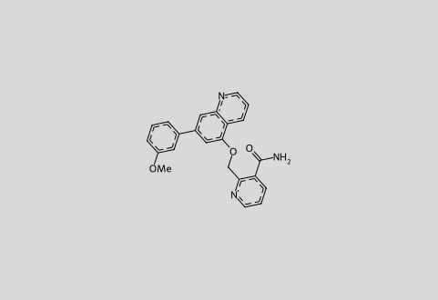 COc1cccc(-c2cc(OCc3ncccc3C(N)=O)c3cccnc3c2)c1